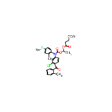 Cc1ccccc1C(=O)c1ccc(N(C(=O)OC(C)OC(=O)CCC(=O)[O-])c2ccc(F)cc2C)cc1Cl.[Na+]